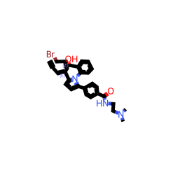 C#C/C=C(\C=C/CBr)c1ccc(-c2ccc(C(=O)NCCN(C)C)cc2)n1-c1ccccc1CO